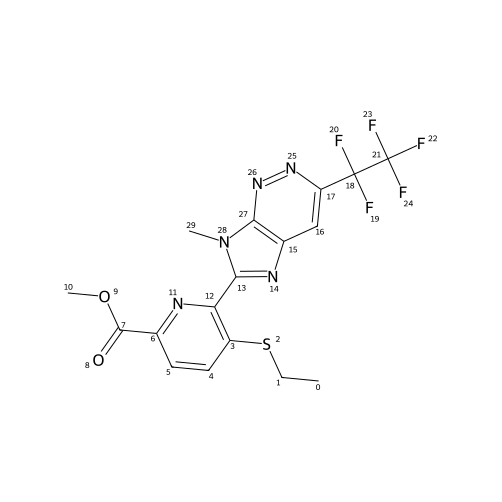 CCSc1ccc(C(=O)OC)nc1-c1nc2cc(C(F)(F)C(F)(F)F)nnc2n1C